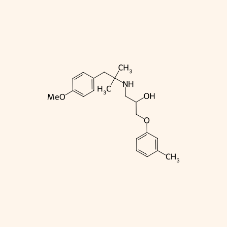 COc1ccc(CC(C)(C)NCC(O)COc2cccc(C)c2)cc1